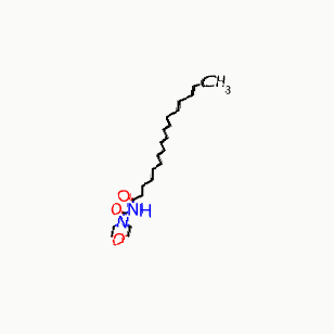 CCCCCCCCCCCCCCCCCC(=O)NC(=O)N1CCOCC1